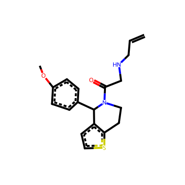 C=CCNCC(=O)N1CCc2sccc2C1c1ccc(OC)cc1